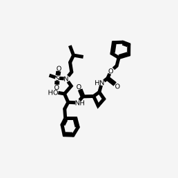 CC(C)CCN(CC(O)C(Cc1ccccc1)NC(=O)C1CCC1NC(=O)OCc1ccccc1)S(C)(=O)=O